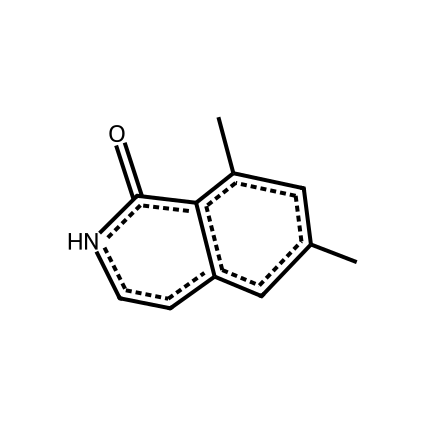 Cc1cc(C)c2c(=O)[nH]ccc2c1